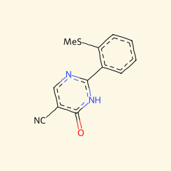 CSc1ccccc1-c1ncc(C#N)c(=O)[nH]1